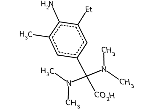 CCc1cc(C(C(=O)O)(N(C)C)N(C)C)cc(C)c1N